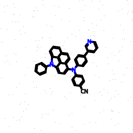 N#Cc1ccc(N(c2ccc(-c3cccnc3)cc2)c2ccc3c4c2ccc2cccc(c24)n3-c2ccccc2)cc1